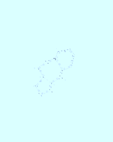 c1ccc2nc3nncc-3cnc2c1